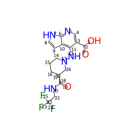 O=C(O)c1cnc2[nH]ccc2c1NN1CCC[C@H](C(=O)NCC(F)(F)F)C1